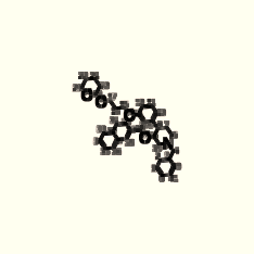 c1ccc(CN2CCC(c3cccc(OCCCOC4CCCCO4)c3)C(OCc3ccc4ccccc4c3)C2)cc1